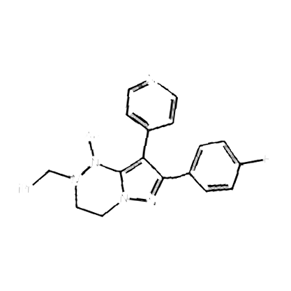 CC(=O)N1c2c(-c3ccncc3)c(-c3ccc(F)cc3)nn2CCN1CC(C)C